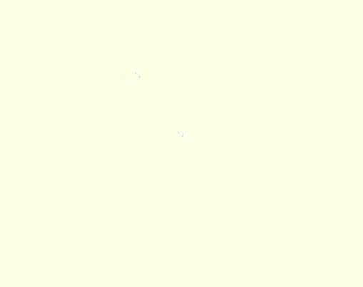 NS(=O)(=O)c1ccccc1S(=O)(=O)NC(=O)CC12CC3CC(CC(C3)C1)C2